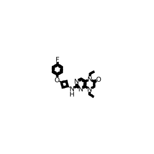 CCN1CC(=O)N(CC)c2cnc(N[C@H]3C[C@H](Oc4ccc(F)cc4)C3)nc21